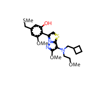 COCCN(CC1CCC1)c1c(OC)nn2c(-c3c(O)cc(CSC)cc3OC)csc12